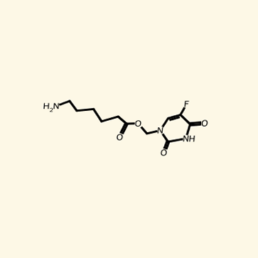 NCCCCCC(=O)OCn1cc(F)c(=O)[nH]c1=O